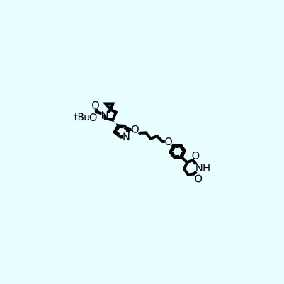 CC(C)(C)OC(=O)N1C[C@@H](c2ccnc(OCCCCCOc3ccc(C4CCC(=O)NC4=O)cc3)c2)CC12CC2